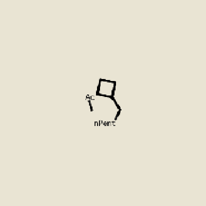 CC(C)=O.CCCCCCC1CCC1